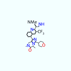 CN/C=C(\C=N)c1nc2cccc(-c3nc(C4CCOCC4)n4c3CN(C)C(=O)C4C)c2cc1C(F)(F)F